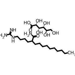 CCCCCCCCCCC(CCCCNC(=N)N)C(N)=O.O=C(O)[C@H](O)[C@@H](O)[C@H](O)[C@H](O)CO